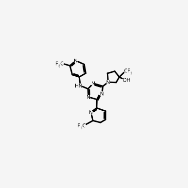 OC1(C(F)(F)F)CCN(c2nc(Nc3ccnc(C(F)(F)F)c3)nc(C3=NC(C(F)(F)F)CC=C3)n2)C1